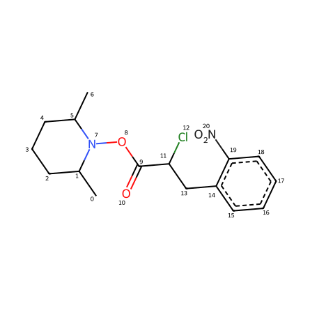 CC1CCCC(C)N1OC(=O)C(Cl)Cc1ccccc1[N+](=O)[O-]